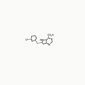 O=C(O)c1ccnc2cc(Cc3cccc(Cl)c3)[nH]c12